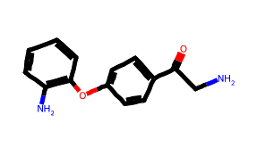 NCC(=O)c1ccc(Oc2ccc[c]c2N)cc1